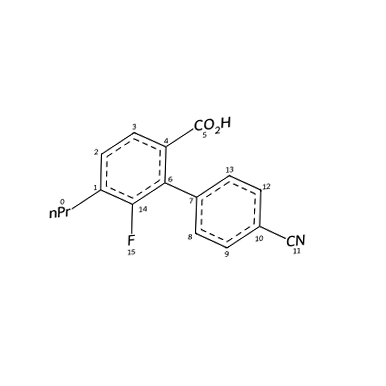 CCCc1ccc(C(=O)O)c(-c2ccc(C#N)cc2)c1F